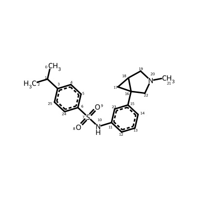 CC(C)c1ccc(S(=O)(=O)Nc2cccc(C34CC3CN(C)C4)c2)cc1